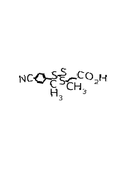 CC(CCC(=O)O)SC(=S)SC(C)c1ccc(C#N)cc1